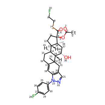 CCC(=O)O[C@]1(C(=O)SCCF)CC[C@H]2[C@@H]3CCC4=Cc5c(cnn5-c5ccc(F)cc5)CC4(C)[C@H]3[C@@H](O)C[C@@]21C